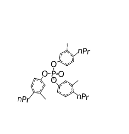 CCCc1ccc(OP(=O)(Oc2ccc(CCC)c(C)c2)Oc2ccc(CCC)c(C)c2)cc1C